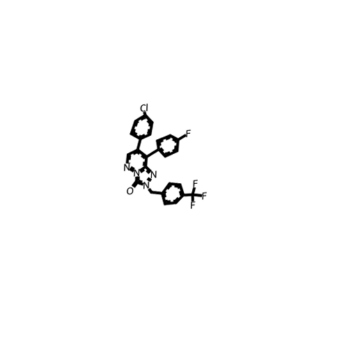 O=c1n(Cc2ccc(C(F)(F)F)cc2)nc2c(-c3ccc(F)cc3)c(-c3ccc(Cl)cc3)cnn12